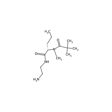 CCC[C@@H](C(=O)NCCN)N(C)C(=O)C(C)(C)C